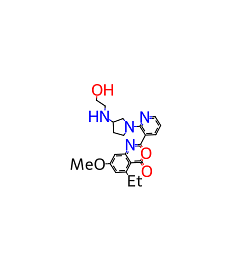 CCc1cc(OC)cc2nc(-c3cccnc3N3CCC(NCCO)C3)oc(=O)c12